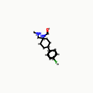 CNCC1(NC=O)CCC(c2ccc(F)cc2)CC1